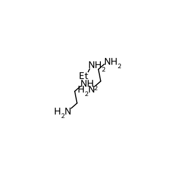 NCCN.NCCN.[CH2]CN